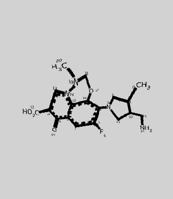 CC1CN(c2c(F)cc3c(=O)c(C(=O)O)cn4c3c2OCN4C)CC1CN